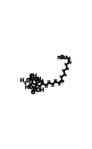 CCCC/C=C\CCCCC/C=C\CCCCCCC(O)(C[N+](C)(C)C)P(=O)(O)O